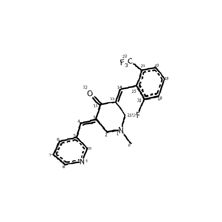 CN1C/C(=C\c2cccnc2)C(=O)/C(=C/c2c(F)cccc2C(F)(F)F)C1